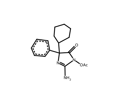 CC(=O)ON1C(=O)C(c2ccccc2)(C2CCCCC2)N=C1N